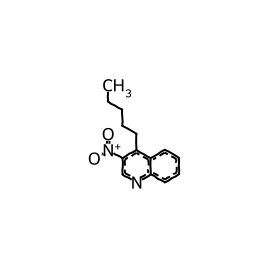 CCCCCc1c([N+](=O)[O-])cnc2ccccc12